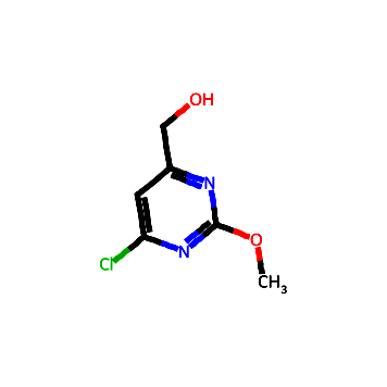 COc1nc(Cl)cc(CO)n1